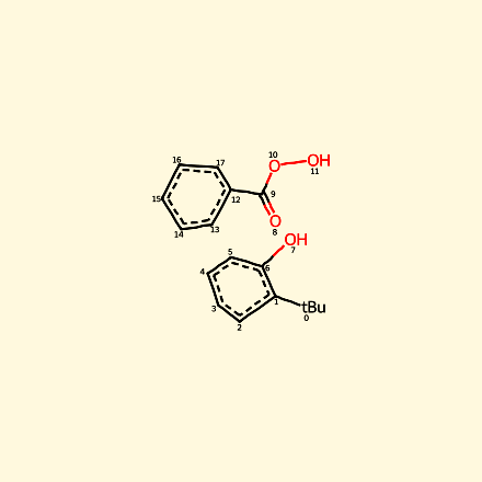 CC(C)(C)c1ccccc1O.O=C(OO)c1ccccc1